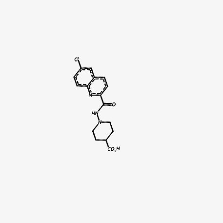 O=C(NN1CCC(C(=O)O)CC1)c1ccc2cc(Cl)ccc2n1